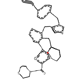 N#Cc1ccc(Cn2cncc2Cc2[c]ccc(-c3ccc(C(=O)N4CCSCC4)o3)c2CC2CCCCC2)cc1